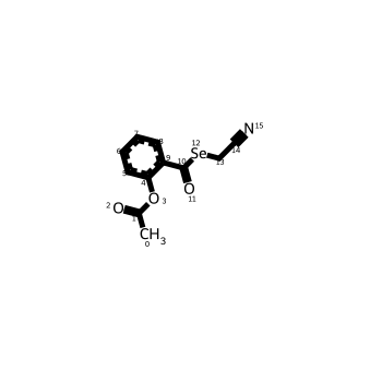 CC(=O)Oc1ccccc1C(=O)[Se]CC#N